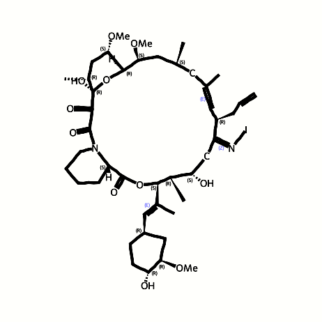 C=CC[C@@H]1/C=C(\C)C[C@H](C)C[C@H](OC)[C@H]2O[C@@](O)(C(=O)C(=O)N3CCCC[C@H]3C(=O)O[C@H](/C(C)=C/[C@@H]3CC[C@@H](O)[C@H](OC)C3)[C@H](C)[C@@H](O)C/C1=N/I)[C@H](C)C[C@@H]2OC